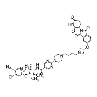 CC1(C)C(NC(=O)c2cnc(N3CCN(CCCCN4CC(Oc5ccc6c(c5)C(=O)N(C5CCC(=O)NC5=O)C6=O)C4)CC3)nc2)C(C)(C)C1Oc1ccc(C#N)c(Cl)c1